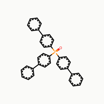 O=P(c1ccc(-c2ccccc2)cc1)(c1ccc(-c2ccccc2)cc1)c1ccc(-c2ccccc2)cc1